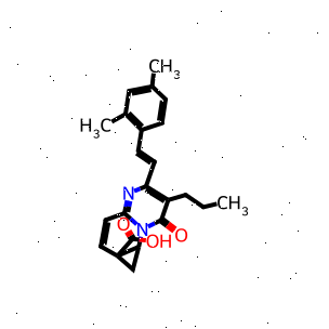 CCCc1c(/C=C/c2ccc(C)cc2C)nc2n(c1=O)C1CC1(C(=O)O)C=C2